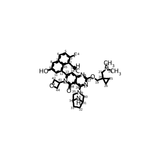 C#Cc1c(F)ccc2cc(O)cc(-c3cc4nc(OCC5(CN(C)C)CC5)nc(N5CC6CCC(C5)N6)c4c(=O)n3C3COC3)c12